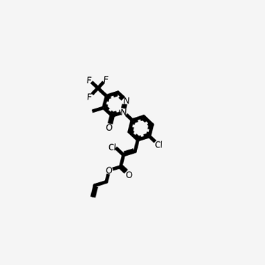 C=CCOC(=O)C(Cl)=Cc1cc(-n2ncc(C(F)(F)F)c(C)c2=O)ccc1Cl